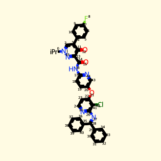 CC(C)n1cc(-c2ccc(F)cc2)c(=O)c(C(=O)Nc2ccc(Oc3ccnc(N=C(c4ccccc4)c4ccccc4)c3Cl)cn2)n1